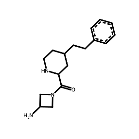 NC1CN(C(=O)C2CC(CCc3ccccc3)CCN2)C1